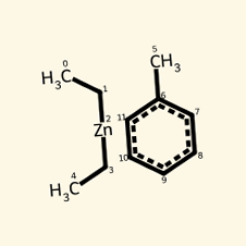 C[CH2][Zn][CH2]C.Cc1ccccc1